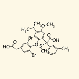 COc1cc(C(SC)(C(=O)O)c2cccc(C)c2)c(Oc2c(Br)cc(CC(=O)O)cc2Br)cc1C(C)C